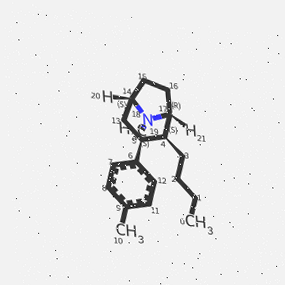 CCCC[C@H]1[C@@H](c2ccc(C)cc2)C[C@@H]2CC[C@H]1N2C